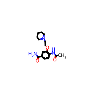 CC(=O)Nc1ccc(C(N)=O)cc1OCCN1CCCCC1